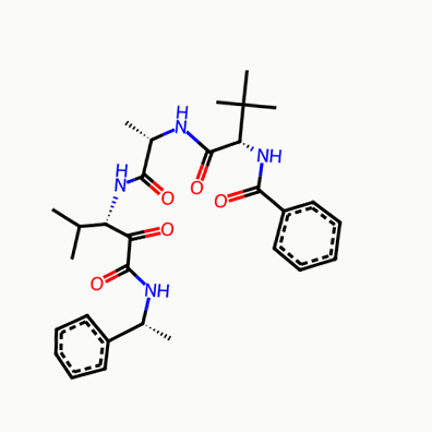 CC(C)[C@H](NC(=O)[C@H](C)NC(=O)[C@@H](NC(=O)c1ccccc1)C(C)(C)C)C(=O)C(=O)N[C@H](C)c1ccccc1